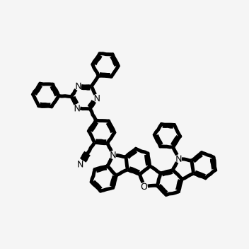 N#Cc1cc(-c2nc(-c3ccccc3)nc(-c3ccccc3)n2)ccc1-n1c2ccccc2c2c3oc4ccc5c6ccccc6n(-c6ccccc6)c5c4c3ccc21